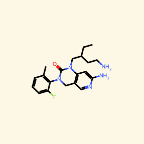 CCC(CCN)CN1C(=O)N(c2c(C)cccc2F)Cc2cnc(N)cc21